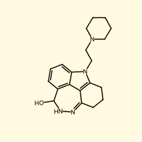 OC1NN=C2CCCc3c2c2c1cccc2n3CCN1CCCCC1